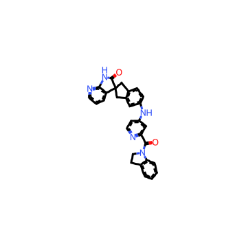 O=C(c1cc(Nc2ccc3c(c2)CC2(C3)C(=O)Nc3ncccc32)ccn1)N1CCc2ccccc21